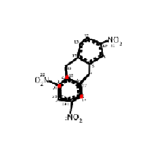 O=[N+]([O-])c1ccc2c(c1)C1c3cc([N+](=O)[O-])ccc3C2c2c1cccc2[N+](=O)[O-]